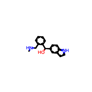 CNCc1ccccc1C(O)c1ccc2[nH]ccc2c1